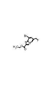 CCOC(=O)c1cn2cc(CF)cc(Br)c2n1